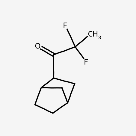 CC(F)(F)C(=O)C1CC2CCC1C2